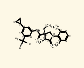 CC[C@@]1(C(=O)Nc2cc(C3CC3)cc(C(F)(F)F)c2)CN(c2c(C)cccc2C)C(=O)[C@H]1C